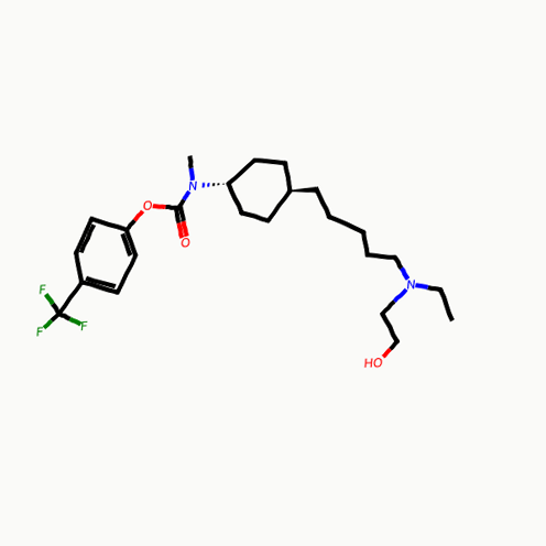 CCN(CCO)CCCCC[C@H]1CC[C@H](N(C)C(=O)Oc2ccc(C(F)(F)F)cc2)CC1